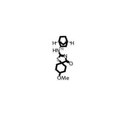 COC1CCC2(CC1)SC(N[C@H]1C[C@@H]3CC[C@H]1C3)=NC2=O